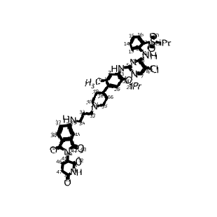 Cc1cc(Nc2ncc(Cl)c(Nc3ccccc3S(=O)(=O)C(C)C)n2)c(OC(C)C)cc1C1CCN(CCCNc2ccc3c(c2)C(=O)N(C2CCC(=O)NC2=O)C3=O)CC1